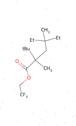 CCC(C)(CC)CC(C)(C(=O)OCC(F)(F)F)C(C)(C)C